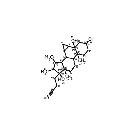 CC1[C@@H](C)C2C3C4CC4[C@]4(O)C[C@@H](O)CC[C@]4(C)C3CC[C@]2(C)[C@]1(O)CCC#N